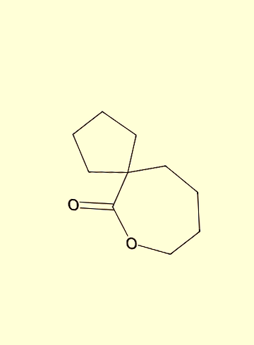 O=C1OCCCCC12CCCC2